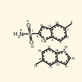 Cc1ccc2sc(S(N)(=O)=O)cc2c1.Cc1ccc2sccc2c1